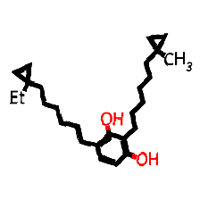 CCC1(CCCCCCc2ccc(O)c(CCCCCCC3(C)CC3)c2O)CC1